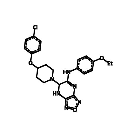 CCOc1ccc(NC2=Nc3nonc3NC2N2CCC(Oc3ccc(Cl)cc3)CC2)cc1